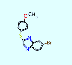 COc1ccc(Sc2cnc3ccc(Br)cc3n2)cc1